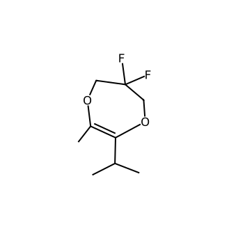 CC1=C(C(C)C)OCC(F)(F)CO1